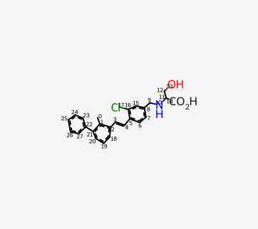 Cc1c(/C=C/c2ccc(CNC(CO)C(=O)O)cc2Cl)cccc1-c1ccccc1